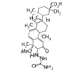 CO[C@@]1(C)C2=CC=C3[C@@](C)(CC[C@@]4(C)[C@@H]5C[C@](C)(C(=O)O)CC[C@]5(C)CC[C@]34C)C2=CC(=O)C1NNC(N)=O